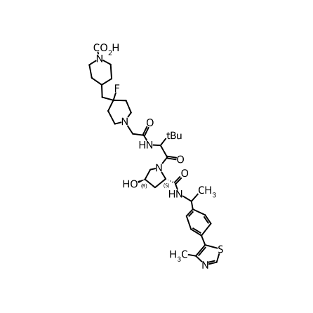 Cc1ncsc1-c1ccc(C(C)NC(=O)[C@@H]2C[C@@H](O)CN2C(=O)C(NC(=O)CN2CCC(F)(CC3CCN(C(=O)O)CC3)CC2)C(C)(C)C)cc1